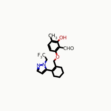 Cc1ccc(OCC2=C(c3ccnn3CC(F)(F)F)CCCC2)c(C=O)c1O